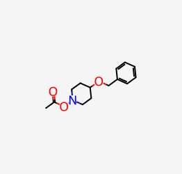 CC(=O)ON1CCC(OCc2ccccc2)CC1